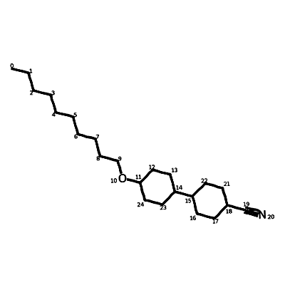 CCCCCCCCCCOC1CCC(C2CCC(C#N)CC2)CC1